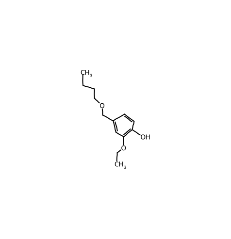 CCCCOCc1ccc(O)c(OCC)c1